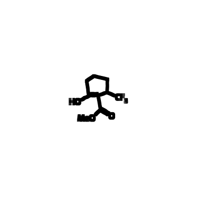 COC(=O)C1=C(O)CCCC1C(F)(F)F